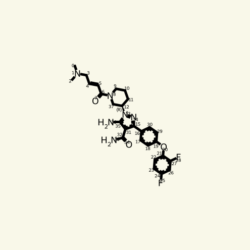 CN(C)CC=CC(=O)N1CCC[C@@H](n2nc(-c3ccc(Oc4ccc(F)cc4F)cc3)c(C(N)=O)c2N)C1